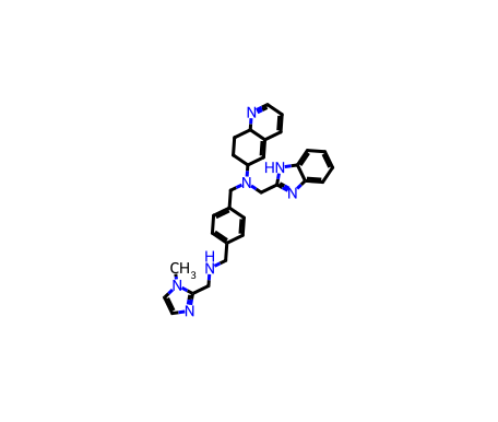 Cn1ccnc1CNCc1ccc(CN(Cc2nc3ccccc3[nH]2)C2C=C3C=CC=NC3CC2)cc1